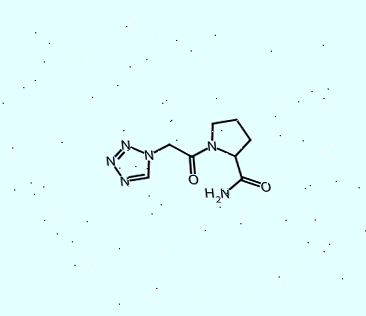 NC(=O)C1CCCN1C(=O)Cn1cnnn1